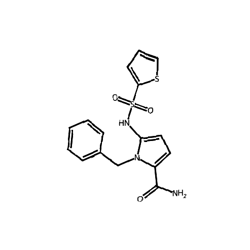 NC(=O)c1ccc(NS(=O)(=O)c2cccs2)n1Cc1ccccc1